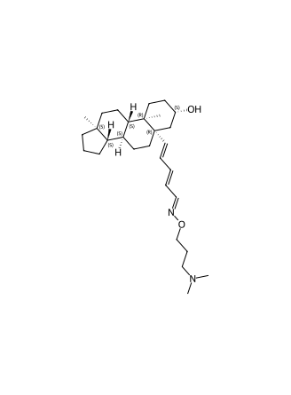 CN(C)CCCON=CC=CC=C[C@]12CC[C@H]3[C@@H]4CCC[C@@]4(C)CC[C@@H]3[C@@]1(C)CC[C@H](O)C2